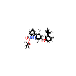 Cc1cc(-c2ccccc2NC(=O)OC(C)(C)C)c(C)cc1Oc1cccc(C(C)(C)C)c1